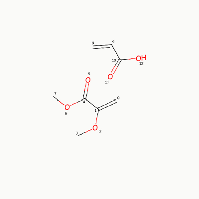 C=C(OC)C(=O)OC.C=CC(=O)O